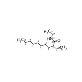 C=CC(CCCCCCCC)C(=O)NCC